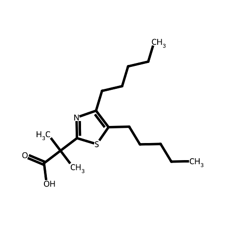 CCCCCc1nc(C(C)(C)C(=O)O)sc1CCCCC